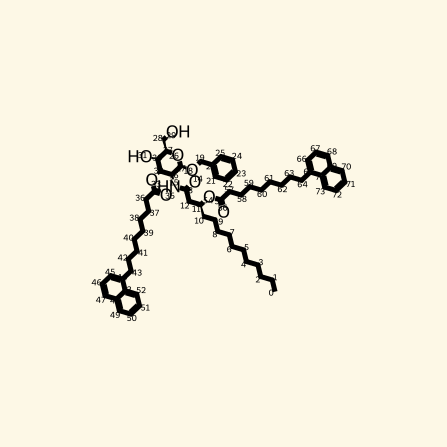 CCCCCCCCCCC[C@@H](CC(=O)N[C@H]1[C@H](OCc2ccccc2)O[C@H](CO)[C@@H](O)[C@@H]1OC(=O)CCCCCCCCc1cccc2ccccc12)OC(=O)CCCCCCCCc1cccc2ccccc12